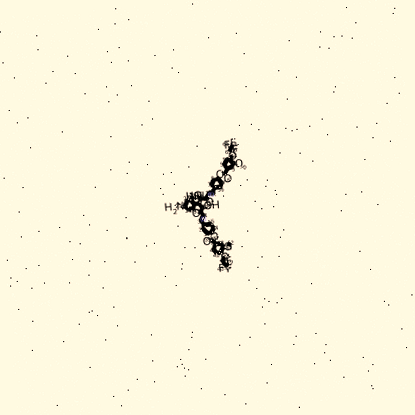 COc1cc(C(=O)Oc2ccc(/C=C/C(=O)C(O)C(c3ccc(N)cc3N)C(O)C(=O)/C=C/c3ccc(OC(=O)c4ccc(OCC(F)(F)F)c(OC)c4)cc3)cc2)ccc1OCC(F)(F)F